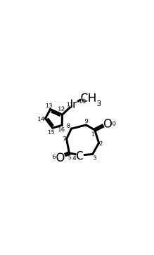 O=C1CCCC(=O)CCC1.[CH3][Ir][C]1=CC=CC1